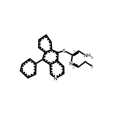 N/C=C(\N=C/CI)Sc1c2ccccc2c(-c2ccccc2)c2cnccc12